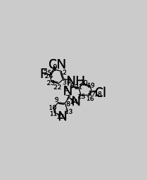 N#Cc1cc(Nc2nc(-c3cccnc3)nc3cc(Cl)ccc23)ccc1F